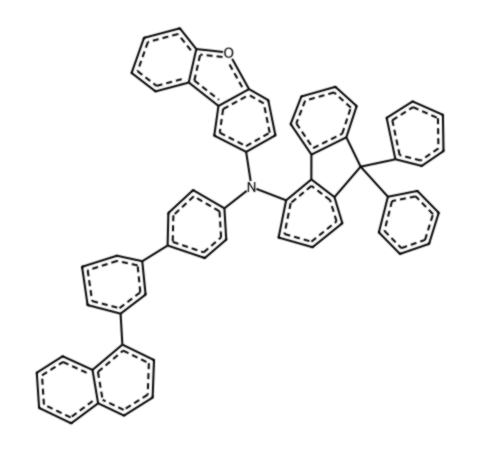 c1ccc(C2(c3ccccc3)c3ccccc3-c3c(N(c4ccc(-c5cccc(-c6cccc7ccccc67)c5)cc4)c4ccc5oc6ccccc6c5c4)cccc32)cc1